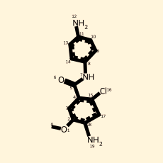 COc1cc(C(=O)Nc2ccc(N)cc2)c(Cl)cc1N